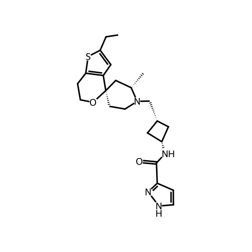 CCc1cc2c(s1)CCO[C@@]21CCN(C[C@H]2C[C@@H](NC(=O)c3cc[nH]n3)C2)[C@@H](C)C1